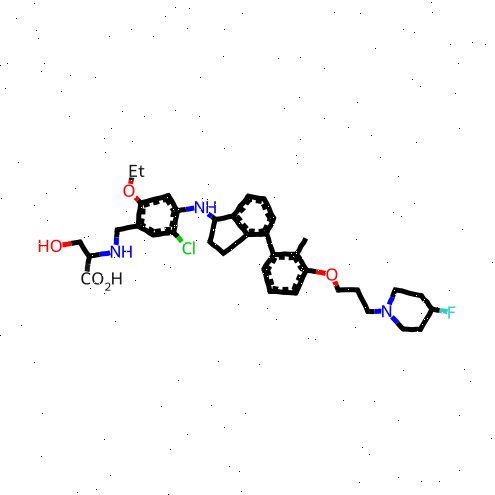 CCOc1cc(NC2CCc3c(-c4cccc(OCCCN5CCC(F)CC5)c4C)cccc32)c(Cl)cc1CNC(CO)C(=O)O